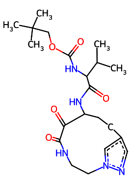 CC(C)C(NC(=O)OCC(C)(C)C)C(=O)NC1CCc2cnn(c2)CCNC(=O)C1=O